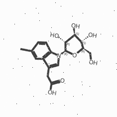 Cc1ccc2c(c1)c(CC(=O)O)cn2[C@@H]1O[C@H](CO)[C@@H](O)[C@H](O)[C@H]1O